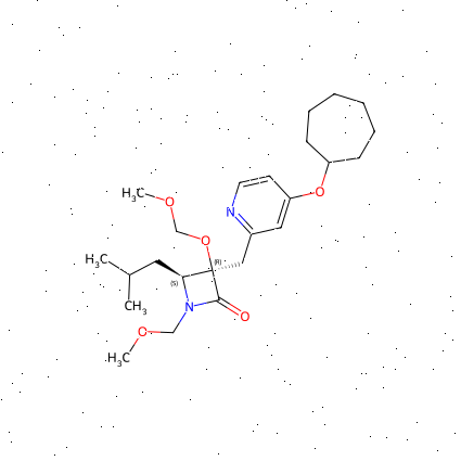 COCO[C@@]1(Cc2cc(OC3CCCCCC3)ccn2)C(=O)N(COC)[C@H]1CC(C)C